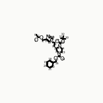 CC(=O)OCc1cn(CC[C@@H]2CN(C(=O)OCc3ccccc3)CCN2C(=O)OC(C)(C)C)nn1